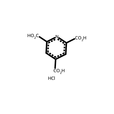 Cl.O=C(O)c1cc(C(=O)O)nc(C(=O)O)c1